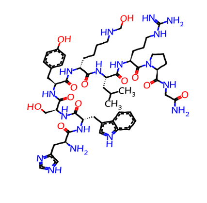 CC(C)C[C@H](NC(=O)[C@@H](CCCCNCO)NC(=O)[C@H](Cc1ccc(O)cc1)NC(=O)[C@H](CO)NC(=O)[C@H](Cc1c[nH]c2ccccc12)NC(=O)[C@@H](N)Cc1c[nH]cn1)C(=O)N[C@@H](CCCNC(=N)N)C(=O)N1CCC[C@H]1C(=O)NCC(N)=O